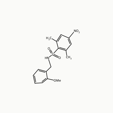 COc1ccccc1CNS(=O)(=O)c1c(C)cc([N+](=O)[O-])cc1C